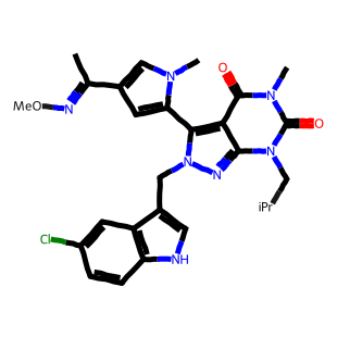 CON=C(C)c1cc(-c2c3c(=O)n(C)c(=O)n(CC(C)C)c3nn2Cc2c[nH]c3ccc(Cl)cc23)n(C)c1